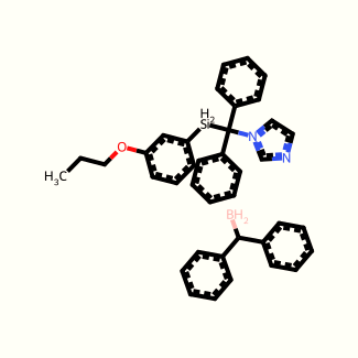 BC(c1ccccc1)c1ccccc1.CCCOc1cccc([SiH2]C(c2ccccc2)(c2ccccc2)n2ccnc2)c1